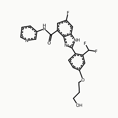 O=C(Nc1cccnc1)c1cc(F)cc2[nH]c(-c3ccc(OCCCO)cc3C(F)F)nc12